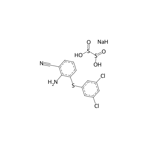 N#Cc1cccc(Sc2cc(Cl)cc(Cl)c2)c1N.O=S(O)S(=O)O.[NaH]